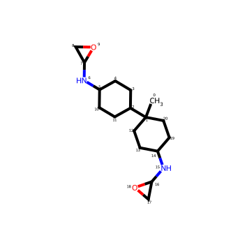 CC1(C2CCC(NC3CO3)CC2)CCC(NC2CO2)CC1